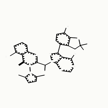 Cc1cccc2nc(C(C)n3nc(-c4ccc(O)c5c4CC(C)(C)O5)c4c(N)ncnc43)n(-n3c(C)ccc3C)c(=O)c12